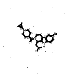 CC(C)CC1c2[nH]c3ccc(Br)cc3c2CCN1C(=O)C1CCN(C2CC2)CC1